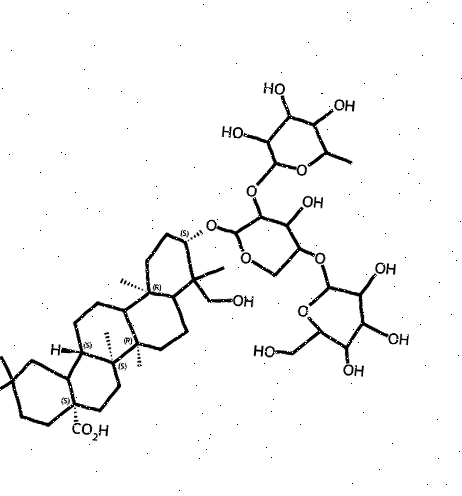 CC1OC(OC2C(O[C@H]3CC[C@@]4(C)C(CC[C@]5(C)C4CC[C@H]4C6CC(C)(C)CC[C@]6(C(=O)O)CC[C@@]45C)C3(C)CO)OCC(OC3OC(CO)C(O)C(O)C3O)C2O)C(O)C(O)C1O